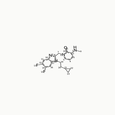 CNc1cccn(Cc2nc3cc(F)c(F)cc3n2CCC2CC2)c1=O